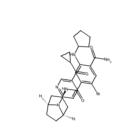 NC(=O)c1cc(Br)c(C(=O)N[C@H]2C[C@H]3CC[C@@H](C2)N3c2ccc(C(=O)C3CC3)cn2)cc1NC1CCCC1